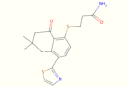 CC1(C)CC(=O)c2c(SCCC(N)=O)ccc(-c3nccs3)c2C1